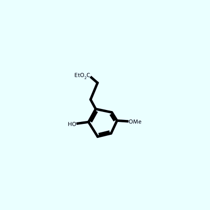 CCOC(=O)CCc1cc(OC)ccc1O